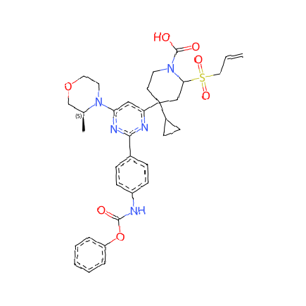 C=CCS(=O)(=O)C1CC(c2cc(N3CCOC[C@@H]3C)nc(-c3ccc(NC(=O)Oc4ccccc4)cc3)n2)(C2CC2)CCN1C(=O)O